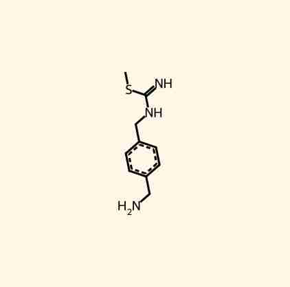 CSC(=N)NCc1ccc(CN)cc1